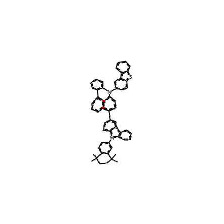 CC1(C)CCC(C)(C)c2cc(-n3c4ccccc4c4cc(-c5ccc(N(c6ccc7sc8ccccc8c7c6)c6ccccc6-c6ccccc6)cc5)ccc43)ccc21